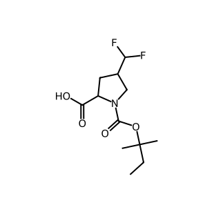 CCC(C)(C)OC(=O)N1CC(C(F)F)CC1C(=O)O